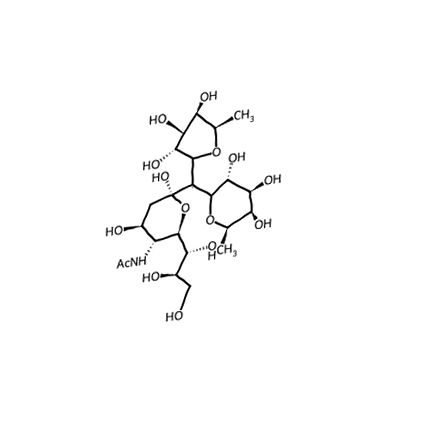 CC(=O)N[C@H]1[C@H]([C@H](O)[C@H](O)CO)O[C@](O)([C](C2O[C@H](C)[C@H](O)[C@H](O)[C@H]2O)C2O[C@H](C)[C@H](O)[C@H](O)[C@H]2O)C[C@@H]1O